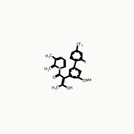 C=C1C(C)=CC=CN1C(=O)/C(=C(\C)O)c1cc(OC)cc(-c2ccc(C(F)(F)F)cc2F)c1